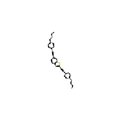 CCCCc1ccc(C#Cc2ccc3cc(C#Cc4ccc(CCCC)cc4)sc3c2)cc1